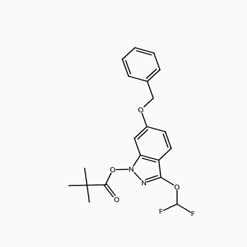 CC(C)(C)C(=O)On1nc(OC(F)F)c2ccc(OCc3ccccc3)cc21